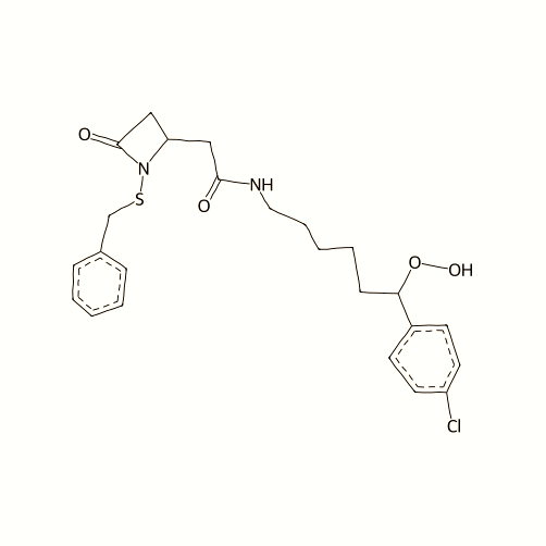 O=C(CC1CC(=O)N1SCc1ccccc1)NCCCCCC(OO)c1ccc(Cl)cc1